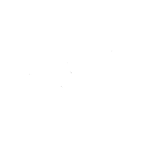 CCCCOc1c(C(=O)O)cnc2c1cnn2Cc1ccc(OC)cc1